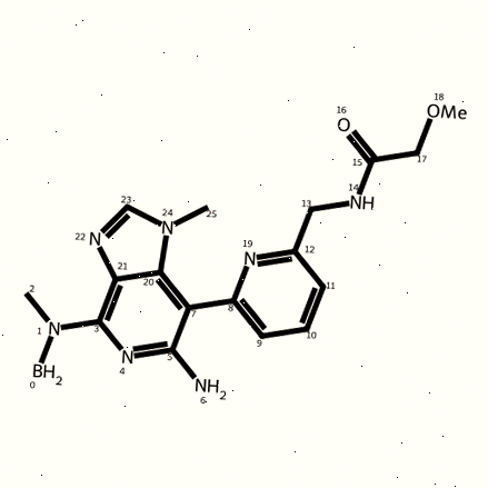 BN(C)c1nc(N)c(-c2cccc(CNC(=O)COC)n2)c2c1ncn2C